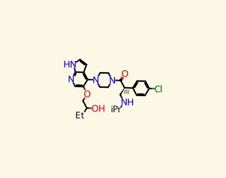 CCC(O)COc1cnc2[nH]ccc2c1N1CCN(C(=O)[C@H](CNC(C)C)c2ccc(Cl)cc2)CC1